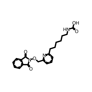 O=C(O)NCCCCCCc1cccc(CON2C(=O)c3ccccc3C2=O)n1